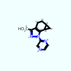 O=C(O)c1nn(-c2cnccn2)c2c1CCC1CC21